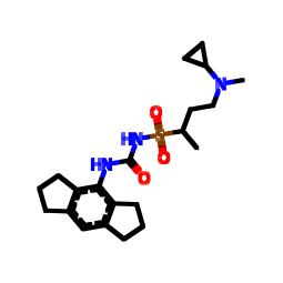 CC(CCN(C)C1CC1)S(=O)(=O)NC(=O)Nc1c2c(cc3c1CCC3)CCC2